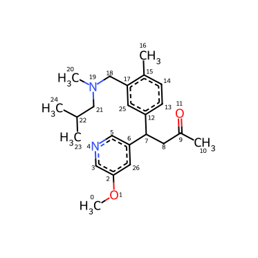 COc1cncc(C(CC(C)=O)c2ccc(C)c(CN(C)CC(C)C)c2)c1